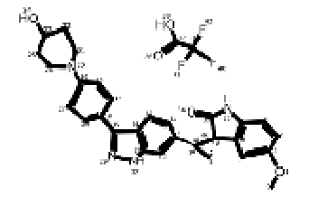 COc1ccc2c(c1)[C@]1(C[C@H]1c1ccc3c(-c4ccc(N5CCC(O)CC5)cc4)n[nH]c3c1)C(=O)N2.O=C(O)C(F)(F)F